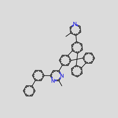 Cc1nc(-c2cccc(-c3ccccc3)c2)cc(-c2ccc3c(c2)C2(c4ccccc4-c4ccccc42)c2ccc(-c4ccncc4C)cc2-3)n1